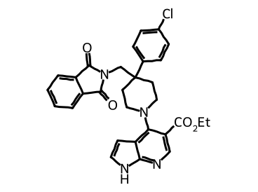 CCOC(=O)c1cnc2[nH]ccc2c1N1CCC(CN2C(=O)c3ccccc3C2=O)(c2ccc(Cl)cc2)CC1